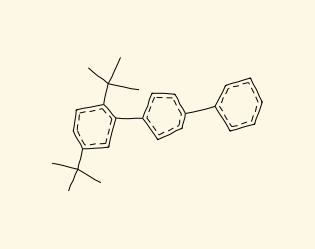 CC(C)(C)c1ccc(C(C)(C)C)c(-c2ccc(-c3ccccc3)cc2)c1